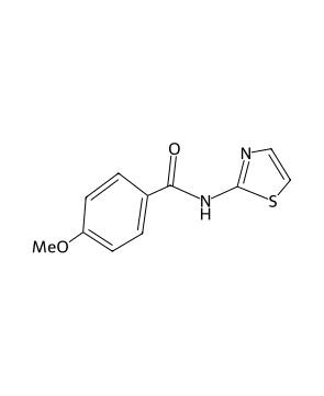 COc1ccc(C(=O)Nc2nccs2)cc1